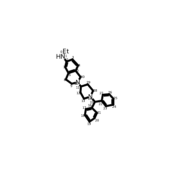 CCNc1ccc2c(c1)CCN(C1CCN(C(c3ccccc3)c3ccccc3)CC1)C2